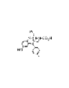 Cc1ccc(-c2c(CNC(=O)O)c(CC(C)C)nc3ccc(O)cc23)cc1